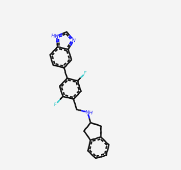 Fc1cc(-c2ccc3[nH]cnc3c2)c(F)cc1CNC1Cc2ccccc2C1